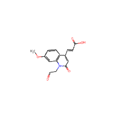 COc1ccc2c(/C=C/C(=O)O)cc(=O)n(CC=O)c2c1